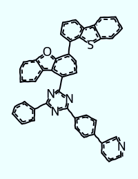 c1ccc(-c2nc(-c3ccc(-c4cccnc4)cc3)nc(-c3ccc(-c4cccc5c4sc4ccccc45)c4oc5ccccc5c34)n2)cc1